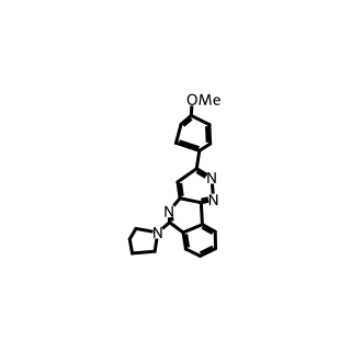 COc1ccc(-c2cc3nc(N4CCCC4)c4ccccc4c3nn2)cc1